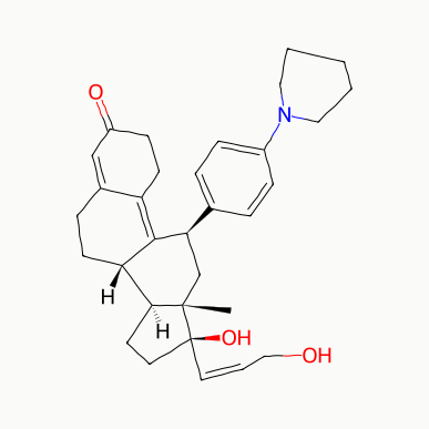 C[C@]12C[C@H](c3ccc(N4CCCCC4)cc3)C3=C4CCC(=O)C=C4CC[C@H]3[C@@H]1CC[C@@]2(O)/C=C\CO